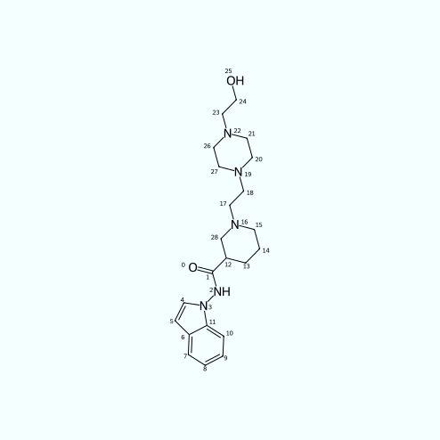 O=C(Nn1ccc2ccccc21)C1CCCN(CCN2CCN(CCO)CC2)C1